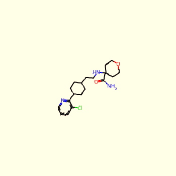 NC(=O)C1(NCCC2CCC(c3ncccc3Cl)CC2)CCOCC1